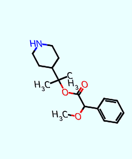 COC(C(=O)OC(C)(C)C1CCNCC1)c1ccccc1